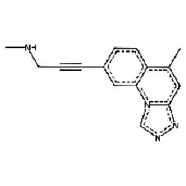 CNCC#Cc1ccc2c(C)cc3nncn3c2c1